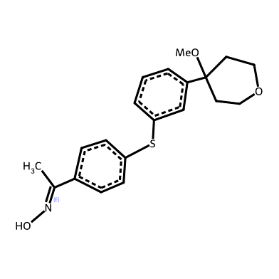 COC1(c2cccc(Sc3ccc(/C(C)=N/O)cc3)c2)CCOCC1